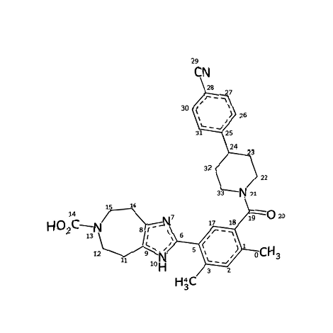 Cc1cc(C)c(-c2nc3c([nH]2)CCN(C(=O)O)CC3)cc1C(=O)N1CCC(c2ccc(C#N)cc2)CC1